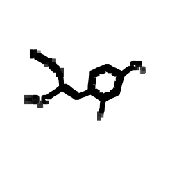 [N-]=[N+]=NC(=Cc1ccc(C(F)(F)F)cc1F)C(=O)O